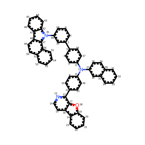 c1cc(-c2ccc(N(c3ccc(-c4nccc5c4oc4ccccc45)cc3)c3ccc4ccccc4c3)cc2)cc(-n2c3ccccc3c3ccc4ccccc4c32)c1